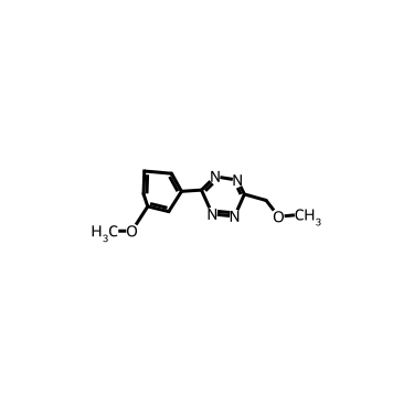 COCc1nnc(-c2cccc(OC)c2)nn1